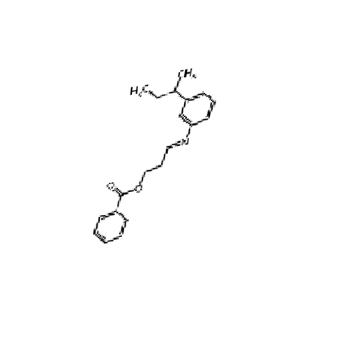 CCC(C)c1cccc(N=CCCOC(=O)c2ccccc2)c1